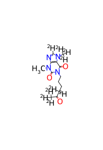 [2H]c1nc2c(c(=O)n(CCCC([2H])([2H])C(=O)C([2H])([2H])[2H])c(=O)n2C)n1C([2H])([2H])[2H]